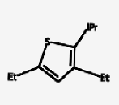 CCc1cc(CC)c(C(C)C)s1